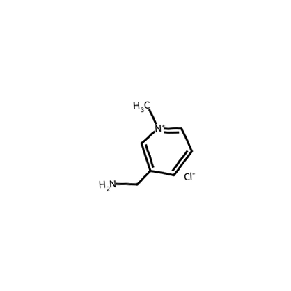 C[n+]1cccc(CN)c1.[Cl-]